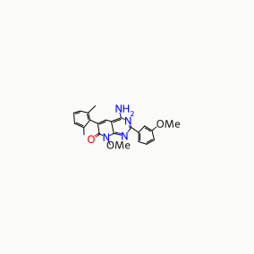 COc1cccc(-c2nc(N)c3cc(-c4c(C)cccc4C)c(=O)n(OC)c3n2)c1